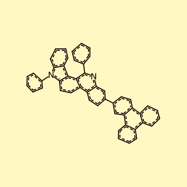 c1ccc(-c2nc3cc(-c4ccc5c6ccccc6c6ccccc6c5c4)ccc3c3ccc4c(c5ccccc5n4-c4ccccc4)c23)cc1